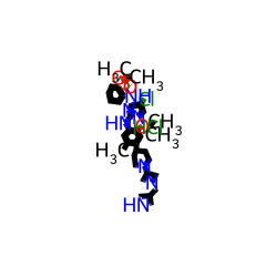 Cc1cc(Nc2ncc(Cl)c(Nc3ccccc3S(=O)(=O)C(C)C)n2)c(OC(C)C)cc1C1CCN(C2CN(CC3CNC3)C2)CC1.Cl